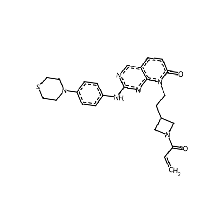 C=CC(=O)N1CC(CCn2c(=O)ccc3cnc(Nc4ccc(N5CCSCC5)cc4)nc32)C1